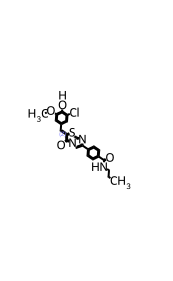 CCCNC(=O)c1ccc(-c2cn3c(=O)/c(=C/c4cc(Cl)c(O)c(OC)c4)sc3n2)cc1